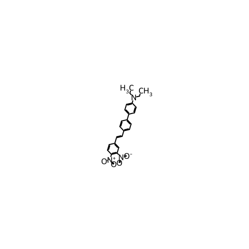 CCN(CC)c1ccc(-c2ccc(C=Cc3ccc([N+](=O)[O-])c([N+](=O)[O-])c3)cc2)cc1